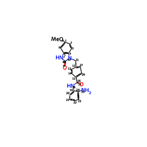 COc1ccc2c(c1)[nH]c(=O)n2Cc1ccc(C(=O)Nc2ccccc2N)cc1